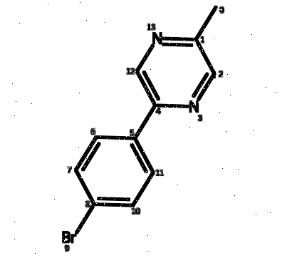 Cc1[c]nc(-c2ccc(Br)cc2)cn1